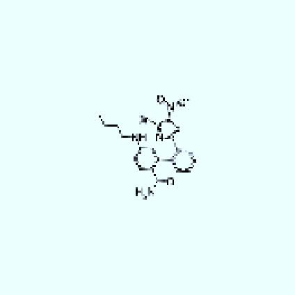 CCCCNc1ccc(C(N)=O)c(-c2ccccc2-c2nc(Br)c([N+](=O)[O-])s2)c1